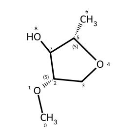 CO[C@H]1CO[C@@H](C)C1O